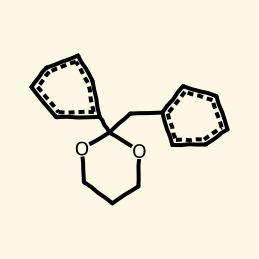 c1ccc(CC2(c3ccccc3)OCCCO2)cc1